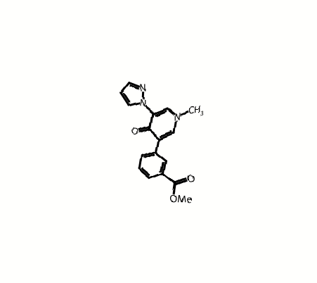 COC(=O)c1cccc(-c2cn(C)cc(-n3cccn3)c2=O)c1